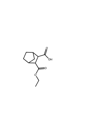 CCOC(=O)C1C2CCC(C2)C1C(=O)O